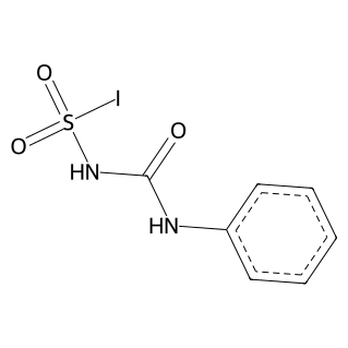 O=C(Nc1ccccc1)NS(=O)(=O)I